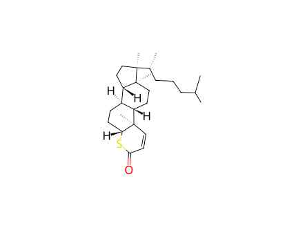 CC(C)CCC[C@@H](C)[C@]1(C)CC[C@H]2[C@@H]3CC[C@H]4SC(=O)C=C[C@]4(C)[C@H]3CC[C@@]21C